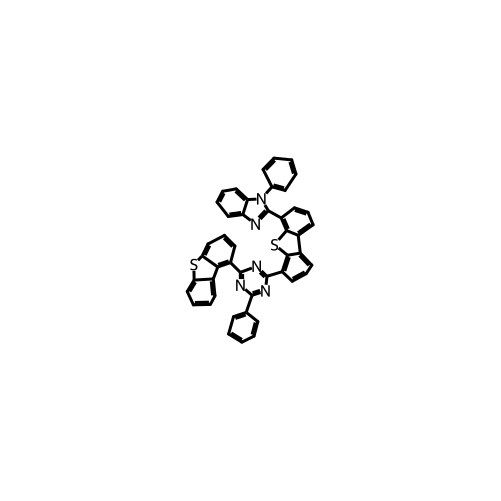 c1ccc(-c2nc(-c3cccc4c3sc3c(-c5nc6ccccc6n5-c5ccccc5)cccc34)nc(-c3cccc4sc5ccccc5c34)n2)cc1